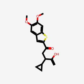 C=C(O)C(CC(=O)c1cc2cc(OC)c(OC)cc2s1)C1CC1